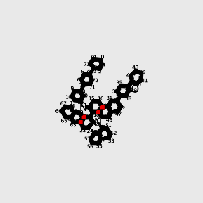 c1ccc(-c2ccc(-c3cccc(N(c4ccccc4-c4ccccc4N(c4ccc5cc(-c6ccc7c(c6)oc6ccccc67)ccc5c4)c4cccc5ccccc45)c4cccc5ccccc45)c3)cc2)cc1